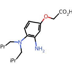 CC(C)CN(CC(C)C)c1ccc(OCC(=O)O)cc1N